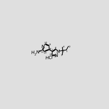 CCC(C)(C)n1cc(-c2ccnc(N)c2)cn1.Cl